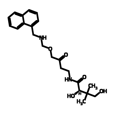 CC(C)(CO)[C@@H](O)C(=O)NCCC(=O)COCNCc1cccc2ccccc12